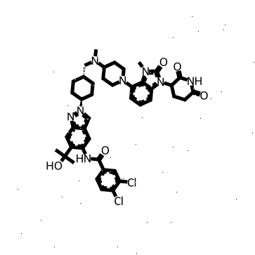 CN(C[C@H]1CC[C@H](n2cc3cc(NC(=O)c4ccc(Cl)c(Cl)c4)c(C(C)(C)O)cc3n2)CC1)C1CCN(c2cccc3c2n(C)c(=O)n3C2CCC(=O)NC2=O)CC1